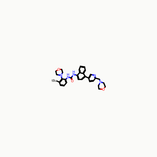 CC(C)(C)c1cccc(NC(=O)Nc2ccc(-c3ccc(CN4CCOCC4)nc3)c3ccccc23)c1N1CCOCC1